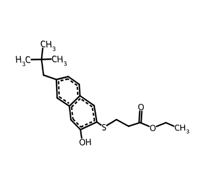 CCOC(=O)CCSc1cc2ccc(CC(C)(C)C)cc2cc1O